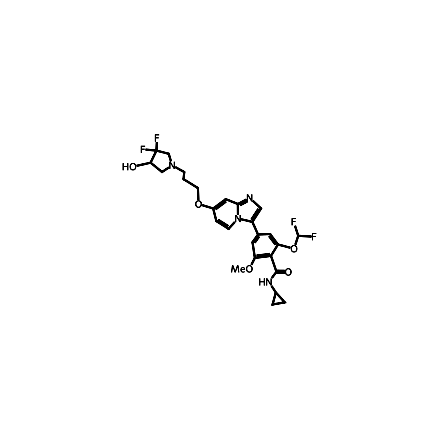 COc1cc(-c2cnc3cc(OCCCN4CC(O)C(F)(F)C4)ccn23)cc(OC(F)F)c1C(=O)NC1CC1